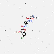 CCc1ncc(C(=O)NC23CC(C2)C(NC(=O)[C@H]2C[C@@H](O)c4cc(Cl)ccc4O2)C3)o1